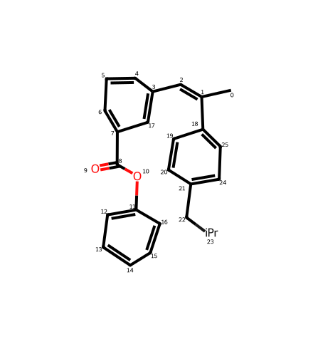 CC(=Cc1cccc(C(=O)Oc2ccccc2)c1)c1ccc(CC(C)C)cc1